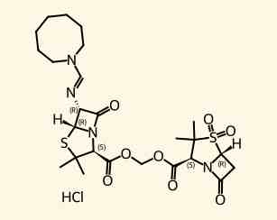 CC1(C)S[C@@H]2[C@H](N=CN3CCCCCCC3)C(=O)N2[C@H]1C(=O)OCOC(=O)[C@@H]1N2C(=O)C[C@H]2S(=O)(=O)C1(C)C.Cl